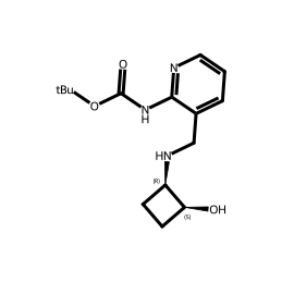 CC(C)(C)OC(=O)Nc1ncccc1CN[C@@H]1CC[C@@H]1O